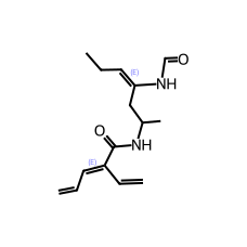 C=C/C=C(\C=C)C(=O)NC(C)C/C(=C\CC)NC=O